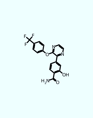 NC(=O)c1ccc(-c2nccnc2Oc2ccc(C(F)(F)F)cc2)cc1O